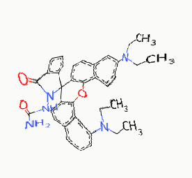 CCN(CC)c1ccc2c3c(ccc2c1)C1(c2ccccc2C(=O)N1NC(N)=O)c1ccc2cccc(N(CC)CC)c2c1O3